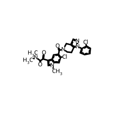 CN(C)C(=O)C(=O)c1cn(C)c2cc(Cl)c(C(=O)N3CCc4c(cnn4-c4ccccc4Cl)C3)cc12